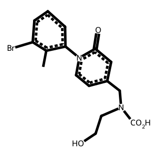 Cc1c(Br)cccc1-n1ccc(CN(CCO)C(=O)O)cc1=O